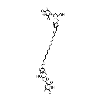 Cc1cn([C@H]2CC(O)[C@@H](Cn3cc(COCCCCCCCCCCCCOCc4cn(C[C@H]5O[C@@H](n6cc(C)c(=O)[nH]c6=O)C[C@H]5O)nn4)nn3)O2)c(=O)[nH]c1=O